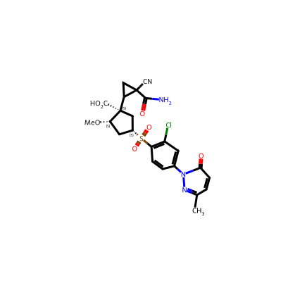 CO[C@H]1C[C@@H](S(=O)(=O)c2ccc(-n3nc(C)ccc3=O)cc2Cl)C[C@]1(C(=O)O)C1CC1(C#N)C(N)=O